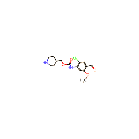 COc1cc(NC(=O)OCC2CCNCC2)c(Cl)cc1C=O